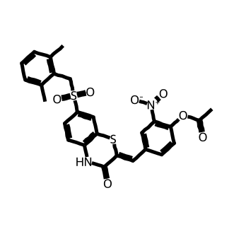 CC(=O)Oc1ccc(/C=C2\Sc3cc(S(=O)(=O)Cc4c(C)cccc4C)ccc3NC2=O)cc1[N+](=O)[O-]